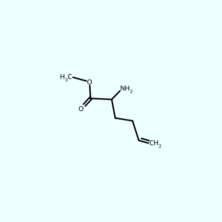 C=CCCC(N)C(=O)OC